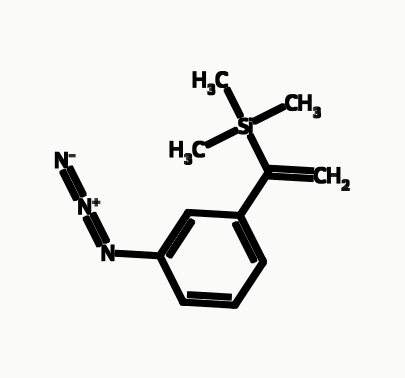 C=C(c1cccc(N=[N+]=[N-])c1)[Si](C)(C)C